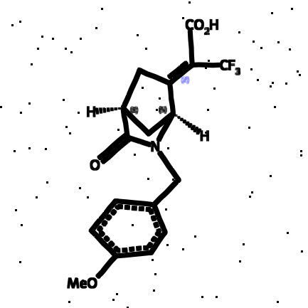 COc1ccc(CN2C(=O)[C@H]3C/C(=C(\C(=O)O)C(F)(F)F)[C@@H]2C3)cc1